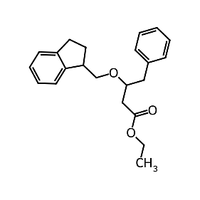 CCOC(=O)CC(Cc1ccccc1)OCC1CCc2ccccc21